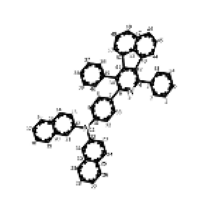 c1ccc(-c2nc(-c3ccc(N(c4ccc5ccccc5c4)c4ccc5ccccc5c4)cc3)c(-c3ccccc3)c3c2-c2cccc4cccc-3c24)cc1